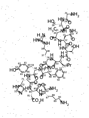 CC(C)C[C@H](NC(=O)[C@H](CO)NC(=O)[C@H](CC(N)=O)NC(=O)[C@H](C)NC(=O)[C@H](CO)NC(=O)CN)C(=O)N[C@@H](CCCNC(=N)N)C(=O)N[C@@H](Cc1ccccc1)C(=O)N[C@@H](Cc1ccc(O)cc1)C(=O)N[C@@H](Cc1cnc[nH]1)C(=O)N[C@@H](CC(=O)O)C(=O)N[C@@H](CCCCN)C(N)=O